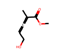 COC(=O)C(C)=C=CCO